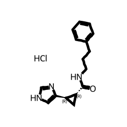 Cl.O=C(NCCCc1ccccc1)[C@@H]1C[C@H]1c1c[nH]cn1